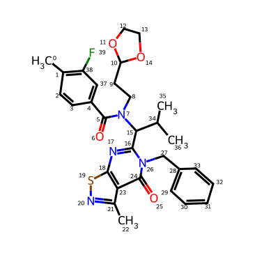 Cc1ccc(C(=O)N(CCC2OCCO2)C(c2nc3snc(C)c3c(=O)n2Cc2ccccc2)C(C)C)cc1F